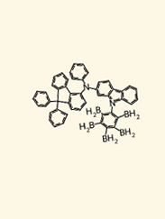 Bc1c(B)c(B)c(-n2c3ccccc3c3ccc(N(c4ccccc4)c4cccc5c4-c4ccccc4C5(c4ccccc4)c4ccccc4)cc32)c(B)c1B